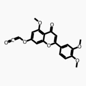 COc1ccc(-c2cc(=O)c3c(OC)cc(OC=C=O)cc3o2)cc1OC